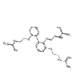 N=C(N)NCCOc1ccccc1-c1cccc(OCCNC(=N)N)c1OCCNC(=N)N